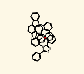 c1ccc(-c2nnc(-c3ccccc3)n2-c2cccc3c4ccccc4n(-c4ccccc4-c4cccc(-n5c6ccccc6c6ccc7oc8ccccc8c7c65)c4)c23)cc1